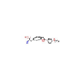 COc1ccc(-c2cc3ccc(C=C(C#N)C(=O)O)cc3o2)cc1